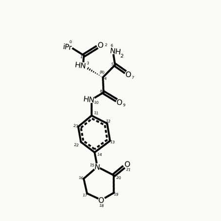 CC(C)C(=O)N[C@H](C(N)=O)C(=O)Nc1ccc(N2CCOCC2=O)cc1